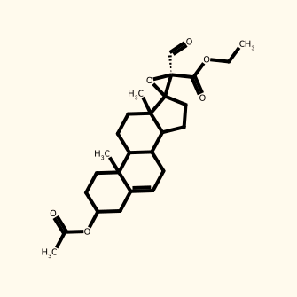 CCOC(=O)[C@]1(C=O)OC12CCC1C3CC=C4CC(OC(C)=O)CCC4(C)C3CCC12C